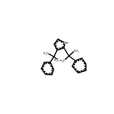 CC(C)(c1ccccc1)c1cc[nH]c1C(C)(C)c1ccccc1